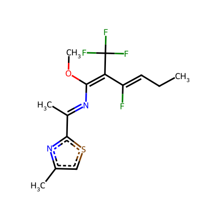 CC/C=C(F)/C(=C(\N=C(/C)c1nc(C)cs1)OC)C(F)(F)F